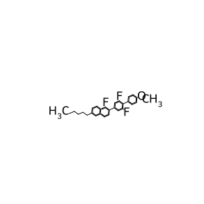 CCCCCCc1ccc2c(F)c(-c3cc(F)c(-c4ccc(OC)cc4)c(F)c3)ccc2c1